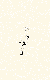 O=P(O)(O)COC[C@H]1O[C@@H](n2ncc3c(NC[C@@H]4CCCO4)nc(Cl)nc32)[C@H](O)[C@@H]1O